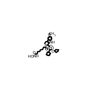 COc1ccc2[nH]c3c(c2c1)CCN(C(=O)CCCCCCC(=O)NO)C3C(=O)N[C@H](C(=O)OC1CCCC1)c1ccccc1